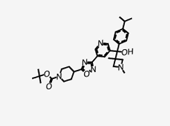 CC(C)c1ccc(C(O)(c2cncc(-c3noc(C4CCN(C(=O)OC(C)(C)C)CC4)n3)c2)C2(C)CN(C)C2)cc1